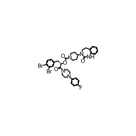 O=C(O[C@H](Cc1ccc(Br)c(Br)c1)C(=O)N1CCN(c2ccc(F)cc2)CC1)N1CCC(N2CCc3ccccc3NC2=O)CC1